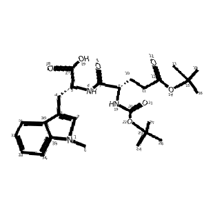 Cn1cc(C[C@@H](NC(=O)[C@H](CCC(=O)OC(C)(C)C)NC(=O)OC(C)(C)C)C(=O)O)c2ccccc21